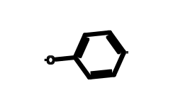 [O]c1cc[c]cc1